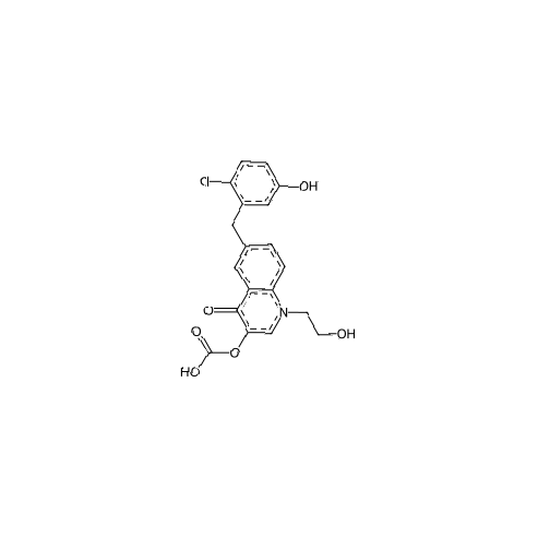 O=C(O)Oc1cn(CCO)c2ccc(Cc3cc(O)ccc3Cl)cc2c1=O